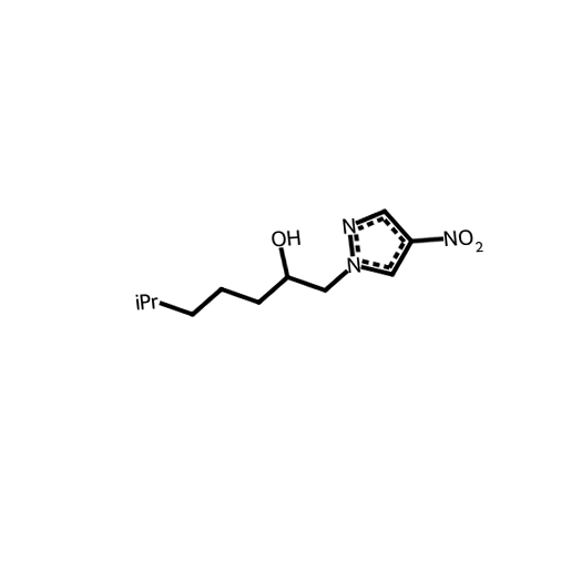 CC(C)CCCC(O)Cn1cc([N+](=O)[O-])cn1